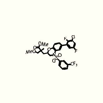 COCC(C)(CC1CN(S(=O)(=O)c2cccc(C(F)(F)F)c2)c2cc(-c3cc(F)cc(Cl)c3F)ccc2O1)C(=O)OC